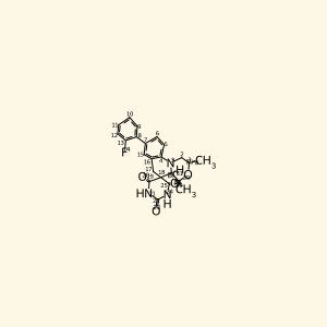 C[C@@H]1CN2c3ccc(-c4ccccc4F)cc3CC3(C(=O)NC(=O)NC3=O)[C@H]2[C@H](C)O1